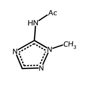 CC(=O)Nc1ncnn1C